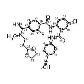 C#Cc1ccc(NC(=O)c2cc(Cl)ccc2NC(=O)c2ccc(C(=N)N(C)CCC3OCCO3)cc2F)nc1